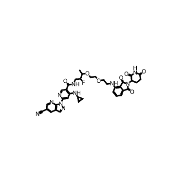 CC(OCCOCCNc1cccc2c1C(=O)N(C1CCC(=O)NC1=O)C2=O)C(F)CNC(=O)c1cnc(-n2ncc3cc(C#N)cnc32)cc1NC1CC1